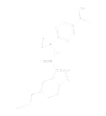 COC(=O)c1cnc(C2(NC(=O)c3[nH]nc4c3CN(C(=O)OC(C)(C)C)CC4)CC2)nc1